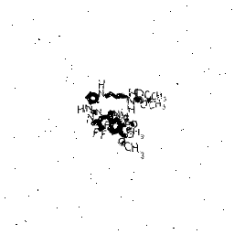 COC(=O)c1ccc2c(-c3nc(N[C@H]4CC[C@H](NCCCCNC(=O)OC(C)(C)C)C4)ncc3C(F)(F)F)c[nH]c2c1P(C)(C)=O